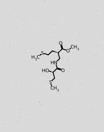 COC(=O)[C@H](CCSC)CNC(=O)[C@H](O)CSC